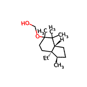 CC[C@]12CCC(C)(OCO)C(C)(C)[C@@H]1CC[C@H]2C